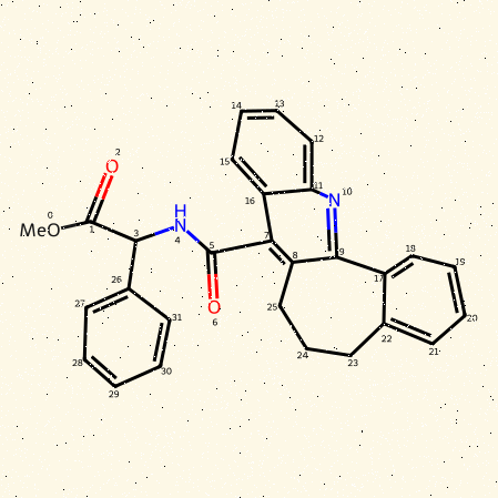 COC(=O)C(NC(=O)c1c2c(nc3ccccc13)-c1ccccc1CCC2)c1ccccc1